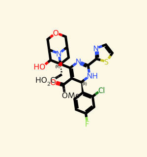 COC(=O)C1=C(CN2C3COCC2C(O)[C@@H](CC(=O)O)C3)N=C(c2nccs2)N[C@H]1c1ccc(F)cc1Cl